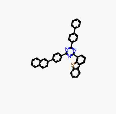 C1=C=c2c(sc3ccccc23)=C(c2nc(-c3ccc(-c4ccccc4)cc3)nc(-c3ccc(-c4ccc5ccccc5c4)cc3)n2)C=1